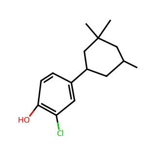 CC1CC(c2ccc(O)c(Cl)c2)CC(C)(C)C1